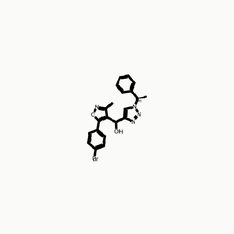 Cc1noc(-c2ccc(Br)cc2)c1C(O)c1cn([C@H](C)c2ccccc2)nn1